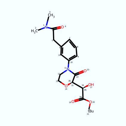 CN(C)C(=O)Cc1cccc(N2CCO[C@H]([C@@H](O)C(=O)OC(C)(C)C)C2=O)c1